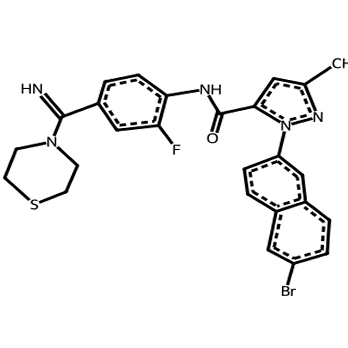 Cc1cc(C(=O)Nc2ccc(C(=N)N3CCSCC3)cc2F)n(-c2ccc3cc(Br)ccc3c2)n1